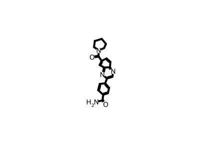 NC(=O)c1ccc(-c2cnc3ccc(C(=O)N4CCCCC4)cc3n2)cc1